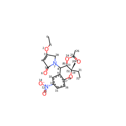 CCOC1=CC(=O)N(C2c3cc([N+](=O)[O-])ccc3O[C@@](C)(CC)[C@@H]2OC(C)=O)C1